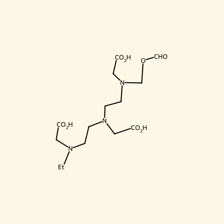 CCN(CCN(CCN(COC=O)CC(=O)O)CC(=O)O)CC(=O)O